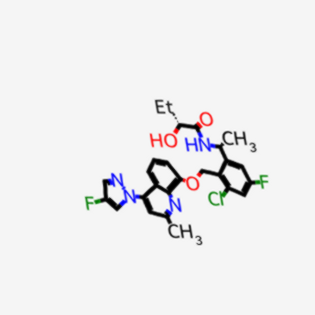 CC[C@@H](O)C(=O)N[C@@H](C)c1cc(F)cc(Cl)c1COc1cccc2c(-n3cc(F)cn3)cc(C)nc12